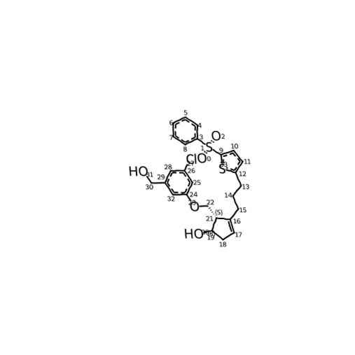 O=S(=O)(c1ccccc1)c1ccc(CCCC2=CC[C@@H](O)[C@@H]2COc2cc(Cl)cc(CO)c2)s1